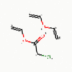 C=COC(=O)CCl.C=COC=C